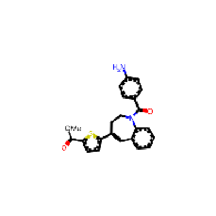 COC(=O)c1ccc(C2=Cc3ccccc3N(C(=O)c3ccc(N)cc3)CC2)s1